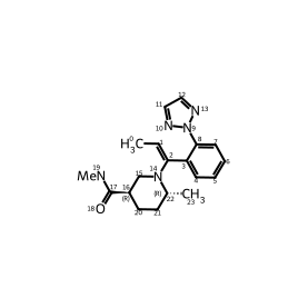 CC=C(c1ccccc1-n1nccn1)N1C[C@H](C(=O)NC)CC[C@H]1C